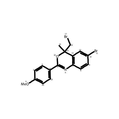 COc1ccc(C2=Nc3ccc(Br)cc3C(C)(CBr)O2)cc1